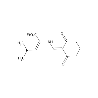 CCOC(=O)C(=CN(C)C)NC=C1C(=O)CCCC1=O